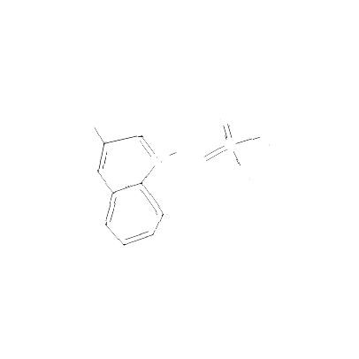 C[n+]1cc(Br)cc2ccccc21.O=S(=O)([O-])C(F)(F)F